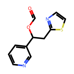 O=COC(Cc1nccs1)c1cccnc1